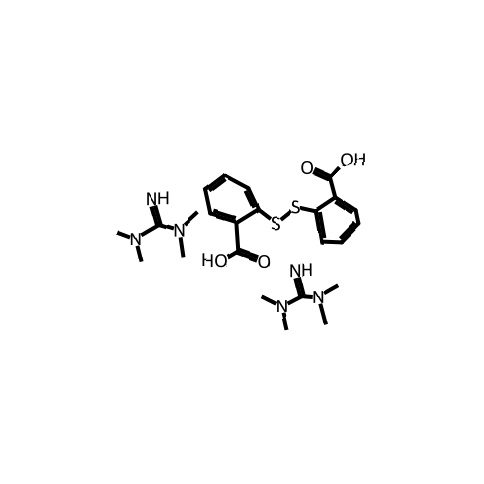 CN(C)C(=N)N(C)C.CN(C)C(=N)N(C)C.O=C(O)c1ccccc1SSc1ccccc1C(=O)O